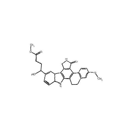 COC(=O)CCC(O)C1=CC2c3c4c(c5c(c3NC2C=C1)CCc1cc(OC)ccc1-5)C(=O)NC4